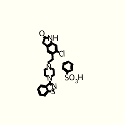 O=C1Cc2cc(CCN3CCN(c4nsc5ccccc45)CC3)c(Cl)cc2N1.O=S(=O)(O)c1ccccc1